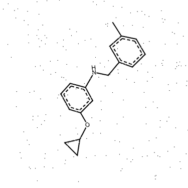 Cc1cccc(CNc2cccc(OC3CC3)c2)c1